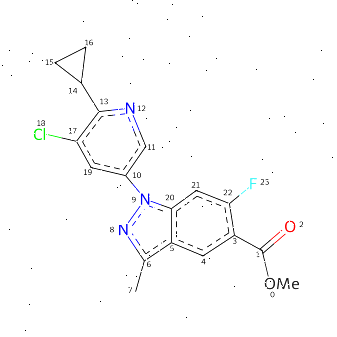 COC(=O)c1cc2c(C)nn(-c3cnc(C4CC4)c(Cl)c3)c2cc1F